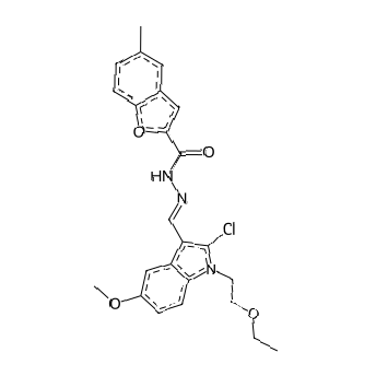 CCOCCn1c(Cl)c(C=NNC(=O)c2cc3cc(C)ccc3o2)c2cc(OC)ccc21